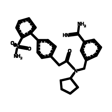 N=C(N)c1cccc(CN(C(=O)Cc2ccc(-c3ccccc3S(N)(=O)=O)cc2)C2CCCC2)c1